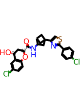 O=C(NC1CC2(c3csc(-c4ccc(Cl)cc4)n3)CC1C2)[C@H]1C[C@@H](O)c2cc(Cl)ccc2O1